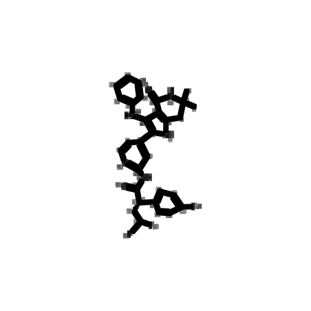 CC1(C)Cc2[nH]c(-c3ccnc(NC(=O)[C@@H](CC(F)F)c4ccc(F)cc4)c3)c(Nc3ccccc3)c2C(=O)N1